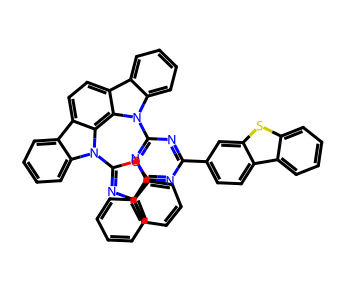 c1ccc(-c2nc(-c3ccc4c(c3)sc3ccccc34)nc(-n3c4ccccc4c4ccc5c6ccccc6n(-c6nc7ccccc7o6)c5c43)n2)cc1